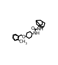 Cc1ccccc1CO[C@H]1CC[C@@H](NC(=O)NC23CC4CC(CC(C4)C2)C3)CC1